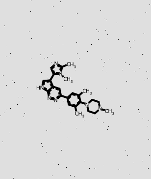 Cc1cc(-c2cc3c(-c4cnc(C)n4C)c[nH]c3nn2)cc(C)c1N1CCN(C)CC1